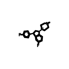 CN1CCN([C@H]2C[C@H](c3ccc(F)cc3)c3cc(F)ccc32)CC1